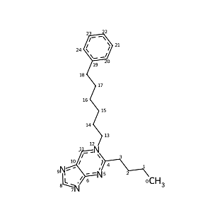 CCCCc1nc2ncnc-2[c]n1CCCCCCc1ccccc1